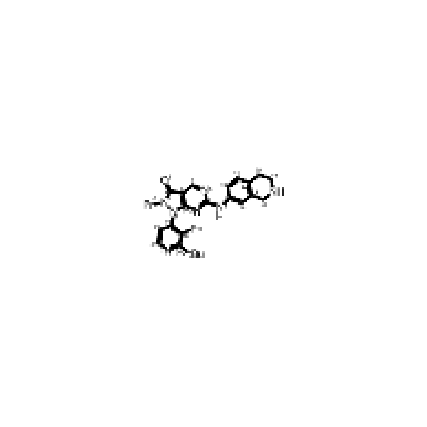 CC(C)n1c(=O)c2cnc(Nc3ccc4c(c3)CNCC4)nc2n1-c1ccnc(C(C)(C)C)c1F